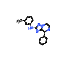 FC(F)(F)c1cccc(Nc2nc3c(-c4ccccc4)nccn3n2)c1